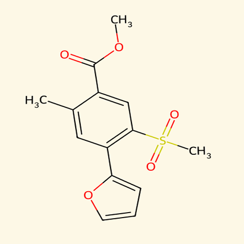 COC(=O)c1cc(S(C)(=O)=O)c(-c2ccco2)cc1C